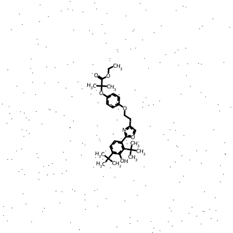 CCOC(=O)C(C)(C)Oc1ccc(OCCc2coc(-c3ccc(C(C)(C)C)c(O)c3C(C)(C)C)n2)cc1